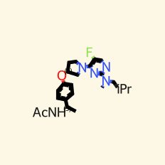 CC(=O)N[C@@H](C)c1ccc(O[C@@H]2CCN(c3nc(N(C)CC(C)C)ncc3F)C2)cc1